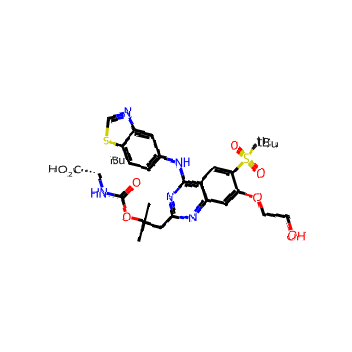 CC[C@H](C)[C@H](NC(=O)OC(C)(C)Cc1nc(Nc2ccc3scnc3c2)c2cc(S(=O)(=O)C(C)(C)C)c(OCCO)cc2n1)C(=O)O